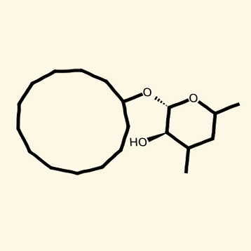 CC1CC(C)[C@@H](O)[C@H](OC2CCCCCCCCCCCC2)O1